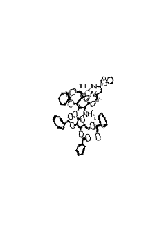 C[C@H](OC1OC2COC3(CCCCC3)OC2C(OC2OC(COC(=O)c3ccccc3)C(OC(=O)c3ccccc3)C2OC(=O)c2ccccc2)C1N)C(N)CC(N)[C@@H]1COC2(CCCCC2)O1